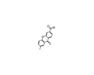 Cc1ccc2oc3cc([N+](=O)[O-])ccc3c(=S)c2c1